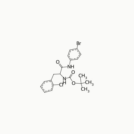 CC(C)(C)OC(=O)NC(Cc1ccccc1Cl)C(=O)Nc1ccc(Br)cc1